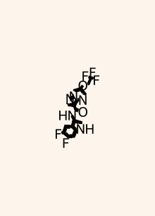 O=C(Nc1c[nH]c2cc(F)c(F)cc12)c1cnn2cc(OCC(F)(F)F)cnc12